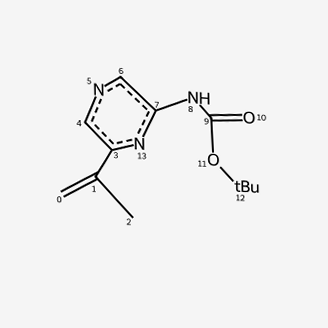 C=C(C)c1cncc(NC(=O)OC(C)(C)C)n1